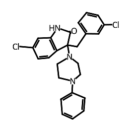 O=C1Nc2cc(Cl)ccc2C1(Cc1cccc(Cl)c1)N1CCN(c2ccccc2)CC1